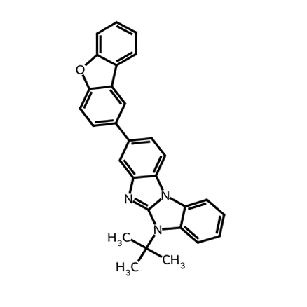 CC(C)(C)n1c2ccccc2n2c3ccc(-c4ccc5oc6ccccc6c5c4)cc3nc12